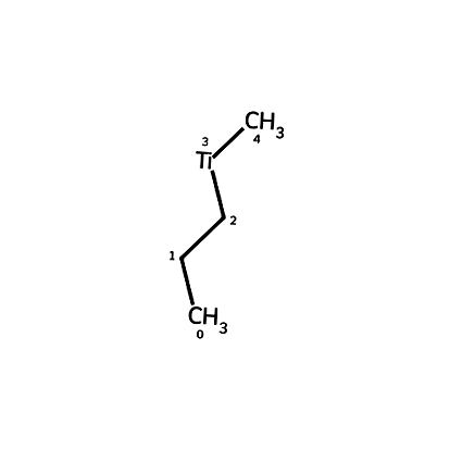 CC[CH2][Ti][CH3]